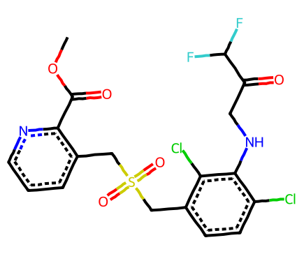 COC(=O)c1ncccc1CS(=O)(=O)Cc1ccc(Cl)c(NCC(=O)C(F)F)c1Cl